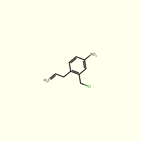 C=CCc1ccc([N+](=O)[O-])cc1CCl